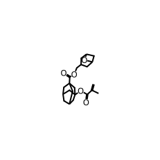 C=C(C)C(=O)OC12CC3CC(C1)CC(C(=O)OCC1CC4CC(C1)O4)(C3)C2